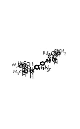 COC(=O)N[C@H](C(=O)N1[C@@H]2C[C@@H]2C[C@H]1c1nc(-c2ccc(-c3ccc(-c4c[nH]c([C@@H]5C[C@H]6C(C)[C@H]6N5C(=O)[C@@H](NC(=O)OC)C(C)C)n4)cc3C)c(C)c2)c[nH]1)C(C)C